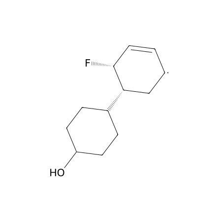 OC1CCC([C@H]2C[CH]C=C[C@H]2F)CC1